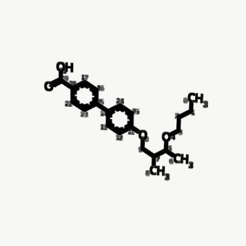 CCCCOC(C)C(C)COc1ccc(-c2ccc(C(=O)O)cc2)cc1